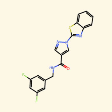 O=C(NCc1cc(F)cc(F)c1)c1cnn(-c2nc3ccccc3s2)c1